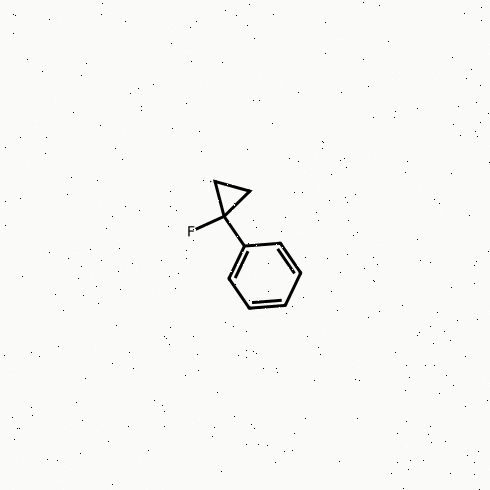 FC1(c2ccccc2)[CH]C1